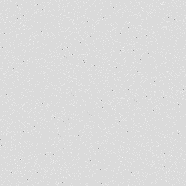 CC(C)(C)OC(=O)N1C2CC1CN(c1nc3c(S(=O)(=O)N4CCCC4)ccc(-c4nccs4)c3o1)C2